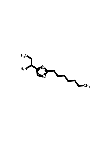 CCCCCCCc1nc(C(N)CC)c[nH]1